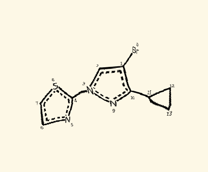 Brc1cn(-c2nccs2)nc1C1CC1